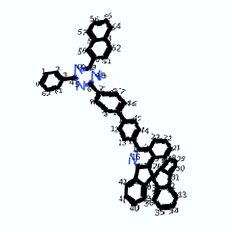 c1ccc(-c2nc(-c3ccc(-c4ccc(-c5nc6c(c7ccccc57)C5(c7ccccc7-c7ccccc75)c5ccccc5-6)cc4)cc3)nc(-c3ccc4ccccc4c3)n2)cc1